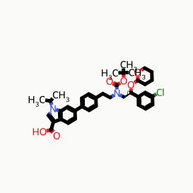 CC(C)n1cc(C(=O)O)c2ccc(-c3ccc(CCN(C[C@@H](OC4CCCCO4)c4cccc(Cl)c4)C(=O)OC(C)(C)C)cc3)cc21